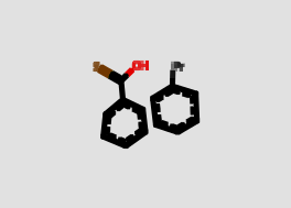 CC(C)c1ccccc1.OC(=S)c1ccccc1